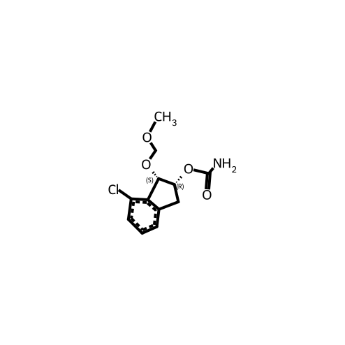 COCO[C@H]1c2c(Cl)cccc2C[C@H]1OC(N)=O